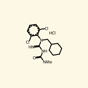 CNC(=O)NC(=N)N(CC1CCCCC1)c1c(Cl)cccc1Cl.Cl